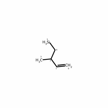 C=CC(C)C[SiH3]